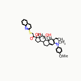 C=CC1=C(N(C)c2ccc(OC)cc2)C=C2CCC3C([C@@H](O)CC4(C)C3CCC4(O)C(=O)CSc3ccc4ccccc4n3)C2(C)C1